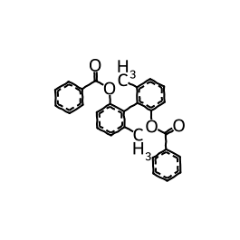 Cc1cccc(OC(=O)c2ccccc2)c1-c1c(C)cccc1OC(=O)c1ccccc1